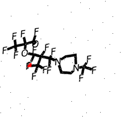 O=C(F)C(F)(OC(F)(F)C(F)(C(F)(F)F)C(F)(F)N1CCN(C(F)(F)F)CC1)C(F)(F)F